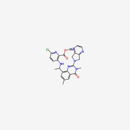 Cc1cc(C(C)Nc2ccc(Cl)nc2C(=O)OC(C)(C)C)c2nc(N3Cc4nccnc4C3)n(C)c(=O)c2c1